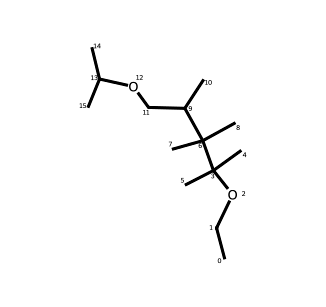 CCOC(C)(C)C(C)(C)C(C)COC(C)C